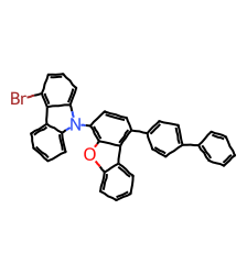 Brc1cccc2c1c1ccccc1n2-c1ccc(-c2ccc(-c3ccccc3)cc2)c2c1oc1ccccc12